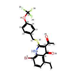 CCc1ccc(Br)c2[nH]c(SCc3ccc(OC(F)(F)F)cc3)c(C(C)=O)c(=O)c12